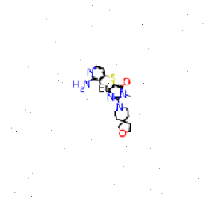 CCc1c(Sc2cnc(N3CCC4(CCOC4)CC3)n(C)c2=O)ccnc1N